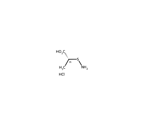 C[C@@H](SN)C(=O)O.Cl